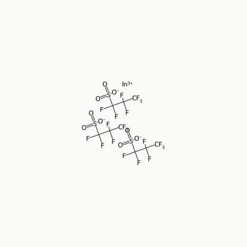 O=S(=O)([O-])C(F)(F)C(F)(F)C(F)(F)F.O=S(=O)([O-])C(F)(F)C(F)(F)C(F)(F)F.O=S(=O)([O-])C(F)(F)C(F)(F)C(F)(F)F.[In+3]